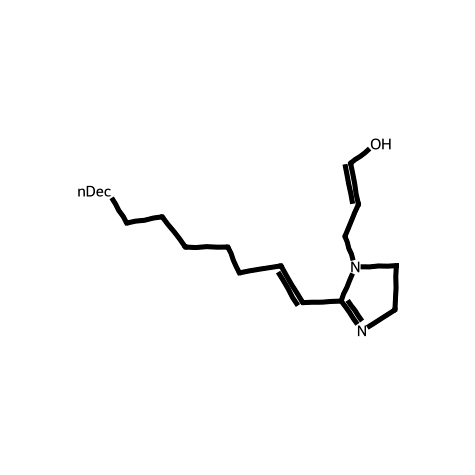 CCCCCCCCCCCCCCCC=CC1=NCCN1CC=CO